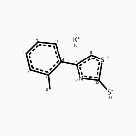 Cc1ccccc1-c1csc([S-])n1.[K+]